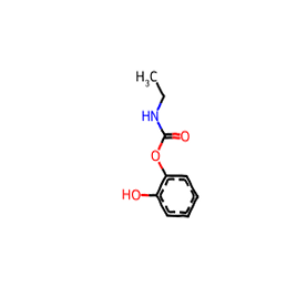 CCNC(=O)Oc1ccccc1O